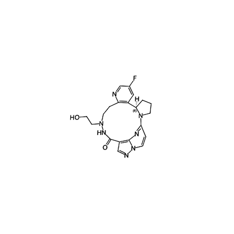 O=C1NN(CCO)CCc2ncc(F)cc2[C@H]2CCCN2c2ccn3ncc1c3n2